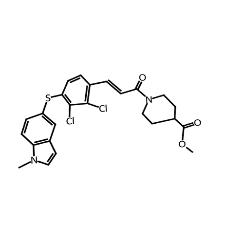 COC(=O)C1CCN(C(=O)C=Cc2ccc(Sc3ccc4c(ccn4C)c3)c(Cl)c2Cl)CC1